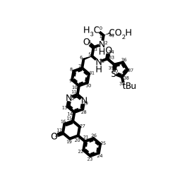 C[C@@H](NC(=O)[C@H](Cc1ccc(-c2ncc(C3=CC(=O)CC(c4ccccc4)C3)cn2)cc1)NC(=O)c1ccc(C(C)(C)C)s1)C(=O)O